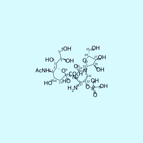 CC(=O)N[C@H]1[C@H]([C@H](O)[C@H](O)CO)O[C@](O)(C(=O)O)C[C@@H]1O.Nc1nc(=O)n([C@@H]2O[C@H](CO)[C@@H](O)[C@H]2O)cc1OP(=O)(O)O